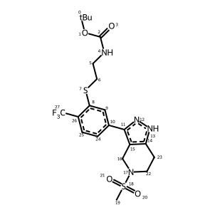 CC(C)(C)OC(=O)NCCSc1cc(-c2n[nH]c3c2CN(S(C)(=O)=O)CC3)ccc1C(F)(F)F